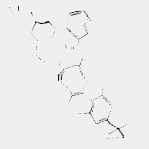 C[C@@H]1C[C@H](NC(=O)O)CN(c2ccncc2NCc2ccc(F)c(-c3c(F)cc(C4(O)CC4)cc3F)n2)C1